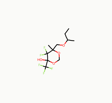 CCC(C)OCC1(C)OCOC(O)(C(F)(F)F)C1(F)F